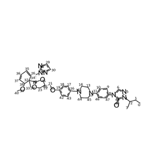 CCC(C)n1ncn(-c2ccc(N3CCN(c4ccc(OC[C@@H]5CO[C@@](Cn6nccn6)(C6(C)C=CC=CC6OC)O5)cc4)CC3)cc2)c1=O